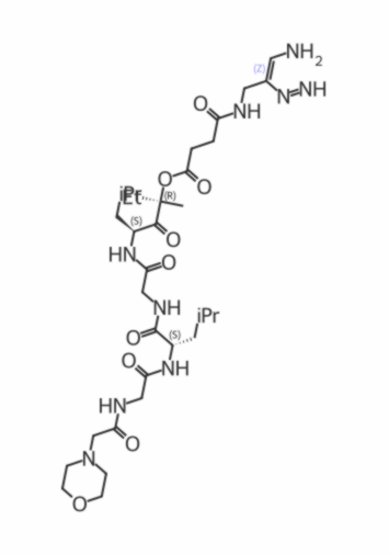 CC[C@@](C)(OC(=O)CCC(=O)NC/C(=C/N)N=N)C(=O)[C@H](CC(C)C)NC(=O)CNC(=O)[C@H](CC(C)C)NC(=O)CNC(=O)CN1CCOCC1